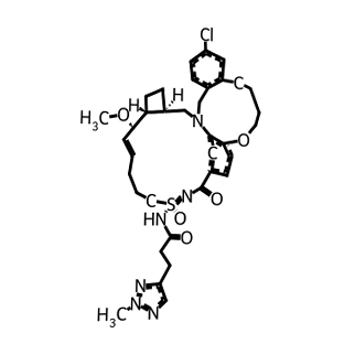 CO[C@H]1/C=C/CCCS(=O)(NC(=O)CCc2cnn(C)n2)=NC(=O)c2ccc3c(c2)N(Cc2ccc(Cl)cc2CCCCO3)C[C@@H]2CC[C@H]21